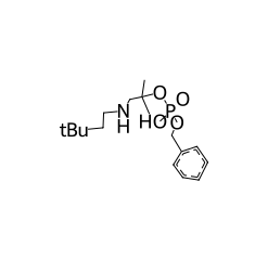 CC(C)(C)CCNCC(C)(C)OP(=O)(O)OCc1ccccc1